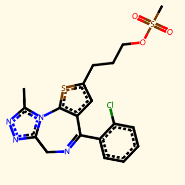 Cc1nnc2n1-c1sc(CCCOS(C)(=O)=O)cc1C(c1ccccc1Cl)=NC2